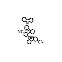 CC1=C(c2ccccc2Nc2ccc(C#N)cc2-c2ccccc2-c2cc(-n3c4ccccc4c4ccccc43)ccc2C#N)CC(C#N)C=C1